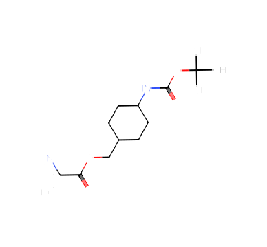 C[C@H](N)C(=O)OCC1CCC(NC(=O)OC(C)(C)C)CC1